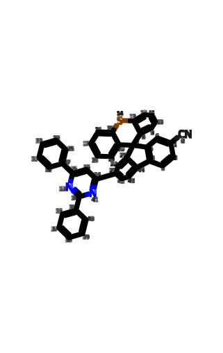 N#Cc1ccc2c(c1)C1(c3ccccc3Sc3ccccc31)c1cc(-c3cc(-c4ccccc4)nc(-c4ccccc4)n3)ccc1-2